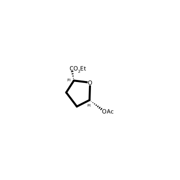 CCOC(=O)[C@H]1CC[C@@H](OC(C)=O)O1